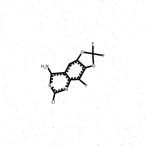 Nc1nc(Cl)nc2c(F)c3c(cc12)OC(F)(F)O3